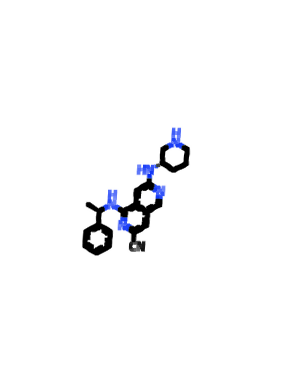 C[C@@H](Nc1nc(C#N)cc2cnc(N[C@H]3CCCNC3)cc12)c1ccccc1